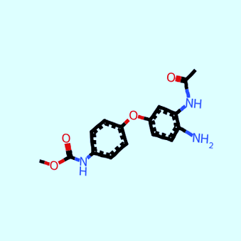 COC(=O)Nc1ccc(Oc2ccc(N)c(NC(C)=O)c2)cc1